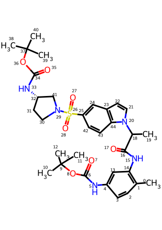 Cc1ccc(NC(=O)OC(C)(C)C)cc1NC(=O)C(C)n1ccc2cc(S(=O)(=O)N3CC[C@H](NC(=O)OC(C)(C)C)C3)ccc21